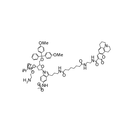 COc1ccc(C(OCC2OC(n3cc(CCCNC(=O)CCCCCCC(=O)NCCNC(=O)c4cc5cc6c7c(c5oc4=O)CCCN7CCC6)c4cc(NS(C)(=O)=O)ccc43)CC2OP(OCCN)N(C(C)C)C(C)C)(c2ccccc2)c2ccc(OC)cc2)cc1